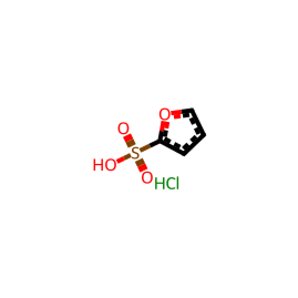 Cl.O=S(=O)(O)c1ccco1